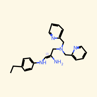 CCc1ccc(N/C=C(\N)CN(Cc2ccccn2)Cc2ccccn2)cc1